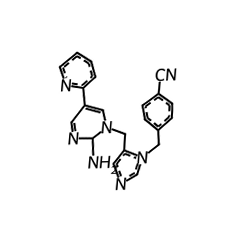 N#Cc1ccc(Cn2cncc2CN2C=C(c3ccccn3)C=NC2N)cc1